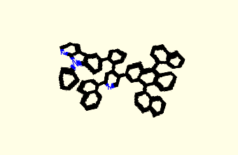 c1ccc(-n2c3ccc(-c4ccccc4-c4cc(-c5cccc6ccccc56)ncc4-c4ccc5c(-c6cccc7ccccc67)c6ccccc6c(-c6cccc7ccccc67)c5c4)cc3c3cccnc32)cc1